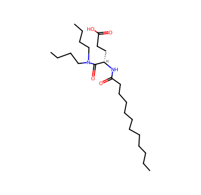 CCCCCCCCCCCC(=O)N[C@@H](CCC(=O)O)C(=O)N(CCCC)CCCC